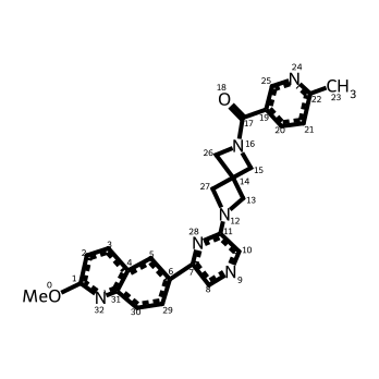 COc1ccc2cc(-c3cncc(N4CC5(CN(C(=O)c6ccc(C)nc6)C5)C4)n3)ccc2n1